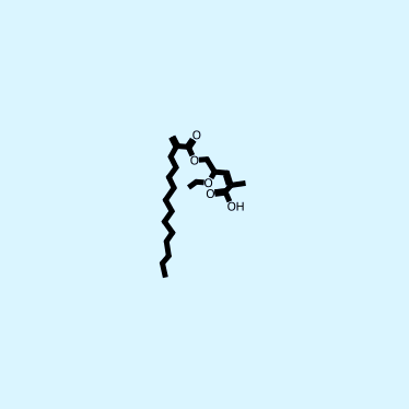 C=C(CCCCCCCCCCCC)C(=O)OCC(C=C(C)C(=O)O)OCC